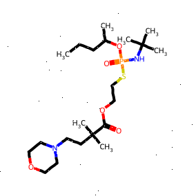 CCCC(C)OP(=O)(NC(C)(C)C)SCCOC(=O)C(C)(C)CCN1CCOCC1